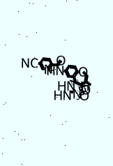 CC1=COc2ccc(NC(=O)c3ccc(C#N)cn3)cc2[C@@]2(C)NC(=N)N(C)S(=O)(=O)[C@@H]12